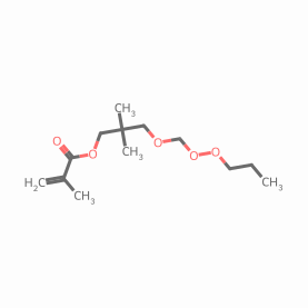 C=C(C)C(=O)OCC(C)(C)COCOOCCC